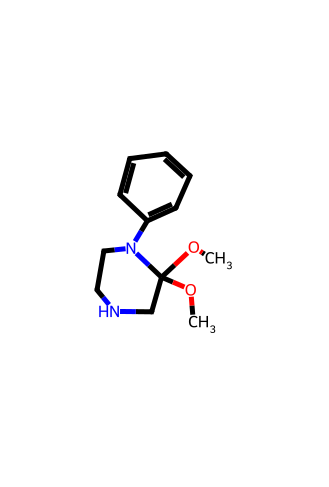 COC1(OC)CNCCN1c1ccccc1